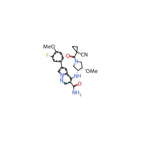 COc1ccc(-c2cc3c(N[C@@H]4CN(C(=O)C5(C#N)CC5)C[C@@H]4OC)c(C(N)=O)cnn3c2)cc1F